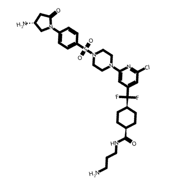 NCCCNC(=O)[C@H]1CC[C@@H](C(F)(F)c2cc(Cl)nc(N3CCN(S(=O)(=O)c4ccc(N5C[C@H](N)CC5=O)cc4)CC3)c2)CC1